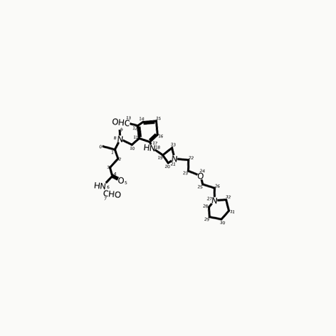 CC(CCC(=O)NC=O)N(C)Cc1c(C=O)cccc1NC1CN(CCOCCN2CCCCC2)C1